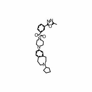 Cc1nnc(-c2cccc(S(=O)(=O)N3CCN(c4ccc5c(c4)CCN(C4CCCC4)CC5)CC3)c2)o1